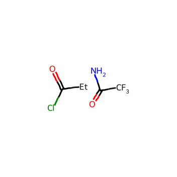 CCC(=O)Cl.NC(=O)C(F)(F)F